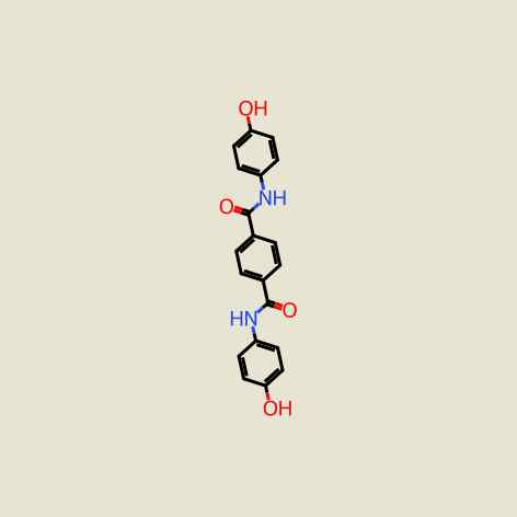 O=C(Nc1ccc(O)cc1)c1ccc(C(=O)Nc2ccc(O)cc2)cc1